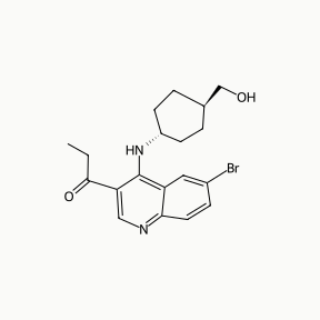 CCC(=O)c1cnc2ccc(Br)cc2c1N[C@H]1CC[C@H](CO)CC1